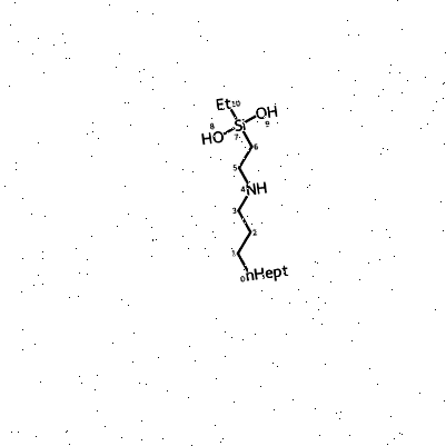 CCCCCCCCCCNCC[Si](O)(O)CC